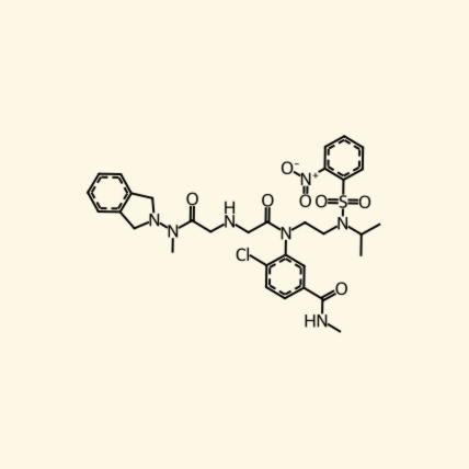 CNC(=O)c1ccc(Cl)c(N(CCN(C(C)C)S(=O)(=O)c2ccccc2[N+](=O)[O-])C(=O)CNCC(=O)N(C)N2Cc3ccccc3C2)c1